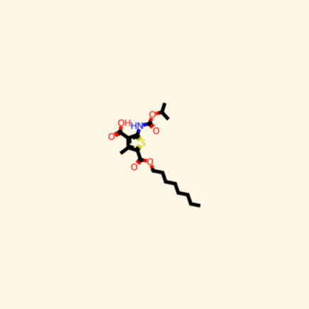 CCCCCCCCOC(=O)c1sc(NC(=O)OC(C)C)c(C(=O)O)c1C